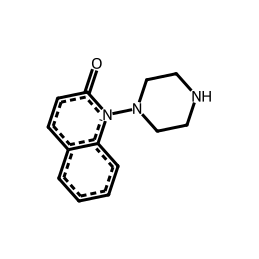 O=c1ccc2ccccc2n1N1CCNCC1